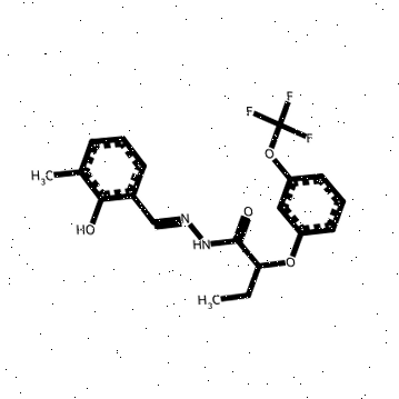 CCC(Oc1cccc(OC(F)(F)F)c1)C(=O)NN=Cc1cccc(C)c1O